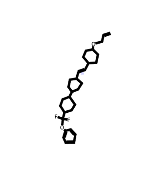 C=CCOC1CCC(/C=C/C2CCC(C3CCC(C(F)(F)Oc4ccccc4)CC3)CC2)CC1